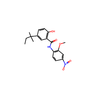 CCC(C)(C)c1ccc(O)c(C(=O)Nc2ccc([N+](=O)[O-])cc2OC)c1